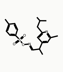 Cc1ccc(S(=O)(=O)ON=CC(C)c2cc(C)nc(CC(C)C)c2)cc1